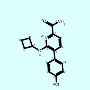 NC(=O)c1[c]cc(-c2ccc(Cl)cc2)c(OC2CCC2)n1